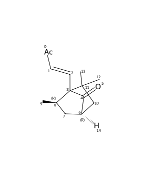 CC(=O)C=CC12C(=O)[C@H](C[C@H]1C)CC2(C)C